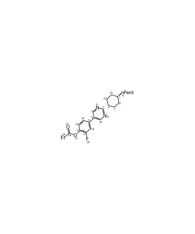 CCCCC[C@H]1CC[C@H](c2ncc(-c3ccc(OC(=O)CC)c(F)c3)cn2)CC1